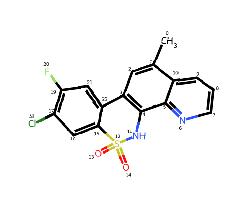 Cc1cc2c(c3ncccc13)NS(=O)(=O)c1cc(Cl)c(F)cc1-2